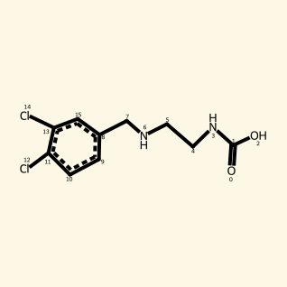 O=C(O)NCCNCc1ccc(Cl)c(Cl)c1